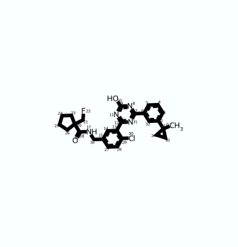 CC1(c2cccc(-c3nc(O)nc(-c4cc(CNC(=O)C5(CF)CCCC5)ccc4Cl)n3)c2)CC1